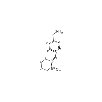 NCc1ccc(/C=C2\CCCCC2=O)cc1